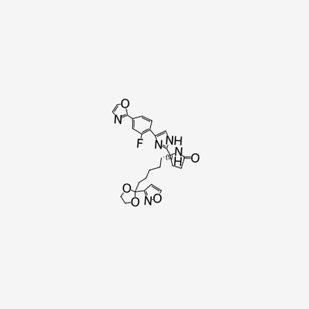 O=C1CC[C@@](CCCCCC2(c3ccon3)OCCO2)(c2nc(-c3ccc(-c4ncco4)cc3F)c[nH]2)N1